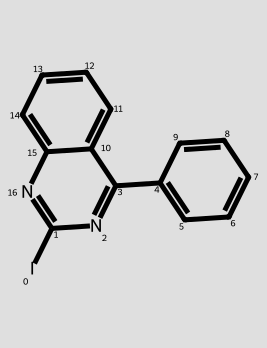 Ic1nc(-c2ccccc2)c2ccccc2n1